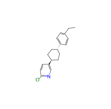 CCc1ccc([C@H]2CC[C@H](c3ccc(Cl)nc3)CC2)cc1